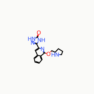 O=c1[nH]nc(-c2cc3ccccc3c(OCC3CCCN3)n2)[nH]1